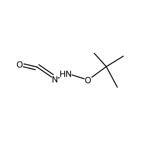 CC(C)(C)ONN=C=O